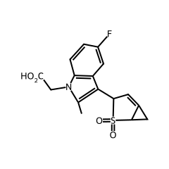 Cc1c(C2C=C3CC3S2(=O)=O)c2cc(F)ccc2n1CC(=O)O